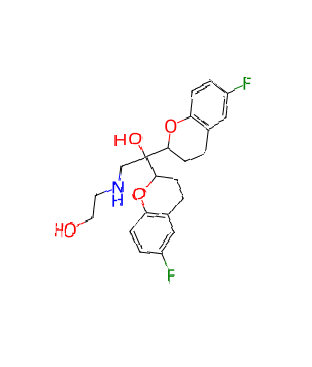 OCCNCC(O)(C1CCc2cc(F)ccc2O1)C1CCc2cc(F)ccc2O1